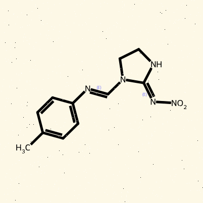 Cc1ccc(/N=C/N2CCN/C2=N\[N+](=O)[O-])cc1